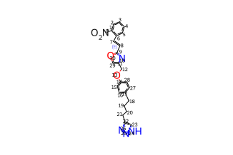 O=[N+]([O-])c1ccccc1/C=C/c1nc(COc2ccc(CCCCc3c[nH]nn3)cc2)co1